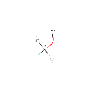 CC(=O)OC(F)(C#N)C#N